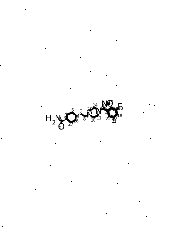 NC(=O)[C@H]1CC[C@H](CCN2CCN(c3noc4c(F)cc(F)cc34)CC2)CC1